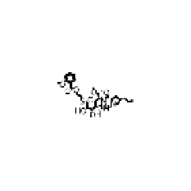 CCC[C@@H]1C[C@@H](C(=O)N[C@@H]([C@H]2O[C@H](SCCOC(=O)c3ccccc3OC)[C@H](O)[C@@H](O)[C@H]2O)[C@@H](C)OC)N(C)C1